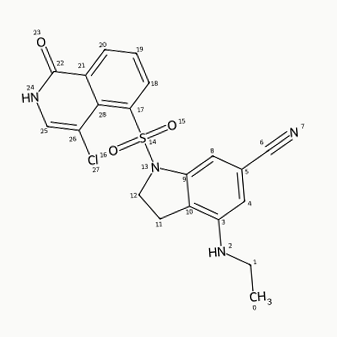 CCNc1cc(C#N)cc2c1CCN2S(=O)(=O)c1cccc2c(=O)[nH]cc(Cl)c12